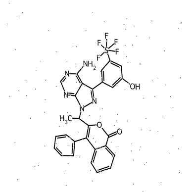 CC(c1oc(=O)c2ccccc2c1-c1ccccc1)n1nc(-c2cc(O)cc(S(F)(F)(F)(F)F)c2)c2c(N)ncnc21